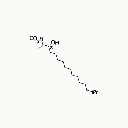 CC(C)CCCCCCCCCCC[C@@H](O)C(C)C(=O)O